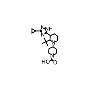 CC(C)(C)C1C(c2nc(C3CC3)n[nH]2)CCCN1C1CCN(C(=O)O)CC1